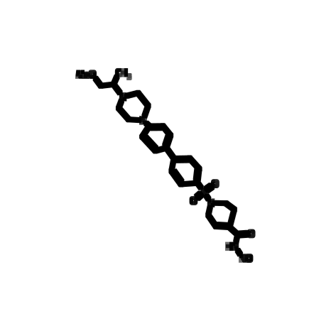 COCC(C)N1CCN(c2ccc(-c3ccc(S(=O)(=O)N4CC=C(C(=O)NN=O)CC4)cc3)cc2)CC1